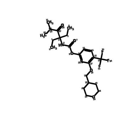 CCC(CC)(NC(=O)Oc1ccc(C(F)(F)F)c(OCC2CCOCC2)n1)C(=O)N(C)C